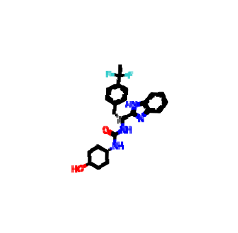 CC(F)(F)c1ccc(C[C@@H](NC(=O)N[C@H]2CC[C@H](O)CC2)c2nc3ccccc3[nH]2)cc1